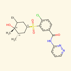 CCC1C[C@@H](S(=O)(=O)c2cc(C(=O)Nc3cccnn3)ccc2Cl)C[C@H](C)[C@]1(C)O